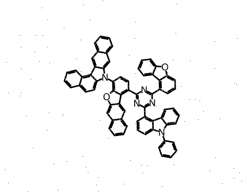 c1ccc(-n2c3ccccc3c3c(-c4nc(-c5cccc6oc7ccccc7c56)nc(-c5ccc(-n6c7cc8ccccc8cc7c7c8ccccc8ccc76)c6oc7cc8ccccc8cc7c56)n4)cccc32)cc1